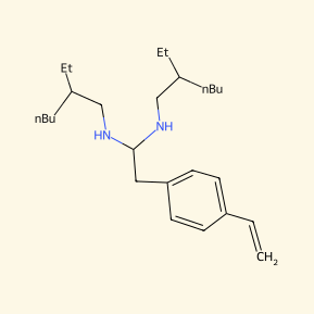 C=Cc1ccc(CC(NCC(CC)CCCC)NCC(CC)CCCC)cc1